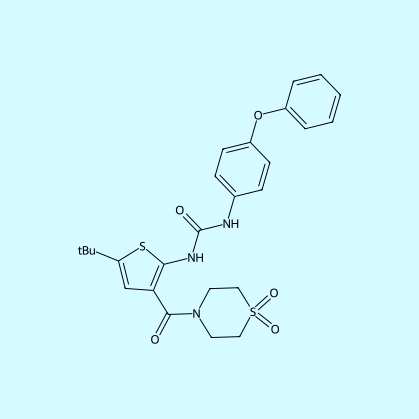 CC(C)(C)c1cc(C(=O)N2CCS(=O)(=O)CC2)c(NC(=O)Nc2ccc(Oc3ccccc3)cc2)s1